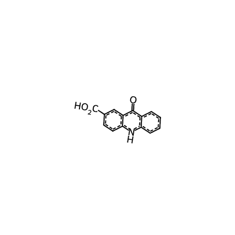 O=C(O)c1ccc2[nH]c3ccccc3c(=O)c2c1